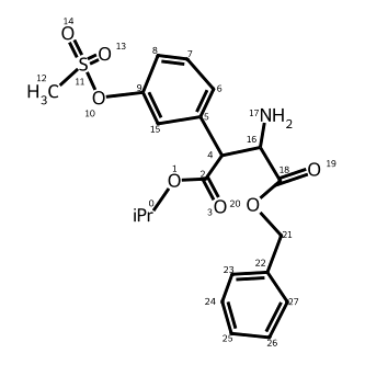 CC(C)OC(=O)C(c1cccc(OS(C)(=O)=O)c1)C(N)C(=O)OCc1ccccc1